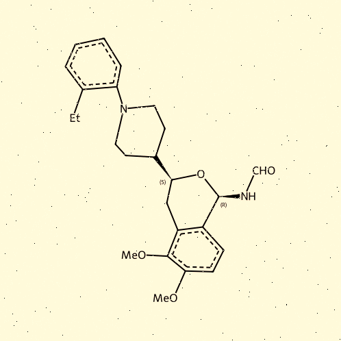 CCc1ccccc1N1CCC([C@@H]2Cc3c(ccc(OC)c3OC)[C@H](NC=O)O2)CC1